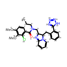 COc1ccc(C(=O)N(CCC(C)C)CC2N=C3C=CC=CN3C2Cc2ccccc2-c2nnn[nH]2)c(Cl)c1OC